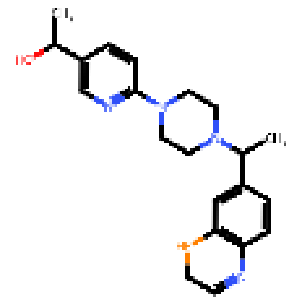 CC(O)c1ccc(N2CCN(C(C)c3ccc4c(c3)PCC=N4)CC2)nc1